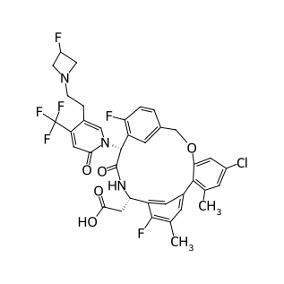 Cc1cc2cc(c1F)[C@H](CC(=O)O)NC(=O)[C@H](n1cc(CCN3CC(F)C3)c(C(F)(F)F)cc1=O)c1cc(ccc1F)COc1cc(Cl)cc(C)c1-2